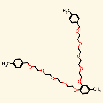 Cc1ccc(COCCOCCOCCOCCOc2ccc(C)cc2OCCOCCOCCOCCOCc2ccc(C)cc2)cc1